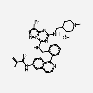 C=C(F)C(=O)Nc1ccc2c(-c3ccccc3CNc3nc(NC[C@H]4CCN(C)C[C@@H]4O)nc4c(C(C)C)cnn34)nccc2c1